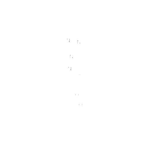 O=COCc1cccc(N2CCN(c3cncnc3)CC2)c1F